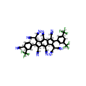 N#CC(C#N)=C1C(c2cc(C(F)(F)F)cc(C(F)(F)F)c2)=C(C#N)c2c(C#N)c3c(c(C#N)c21)C(C#N)=C(c1ccc(C#N)c(C(F)(F)F)c1)C3=C(C#N)C#N